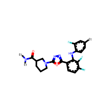 CCc1ccc(Nc2c(-c3nnc(N4CCCC(C(=O)N(CC)CC)C4)o3)ccc(F)c2F)c(F)c1